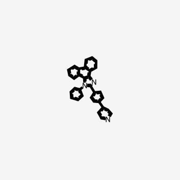 c1ccc(-n2c(-c3ccc(-c4ccncc4)cc3)nc3c4ccccc4c4ccccc4c32)cc1